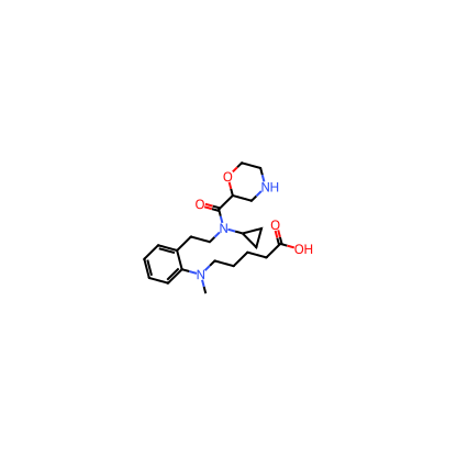 CN(CCCCC(=O)O)c1ccccc1CCN(C(=O)C1CNCCO1)C1CC1